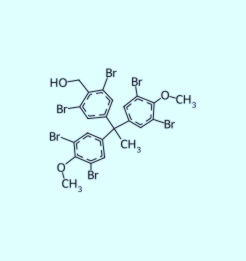 COc1c(Br)cc(C(C)(c2cc(Br)c(CO)c(Br)c2)c2cc(Br)c(OC)c(Br)c2)cc1Br